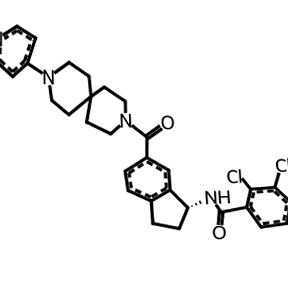 O=C(N[C@@H]1CCc2ccc(C(=O)N3CCC4(CC3)CCN(c3ccncc3)CC4)cc21)c1cccc(Cl)c1Cl